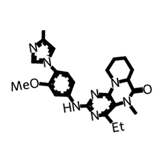 CCc1nc(Nc2ccc(-n3cnc(C)c3)c(OC)c2)nc2c1N(C)C(=O)C1CCCCN21